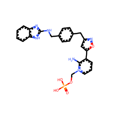 Nc1c(-c2cc(Cc3ccc(CNc4nc5ccccc5[nH]4)cc3)no2)ccc[n+]1COP(=O)(O)O